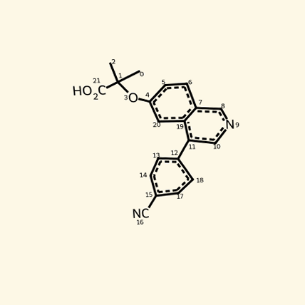 CC(C)(Oc1ccc2cncc(-c3ccc(C#N)cc3)c2c1)C(=O)O